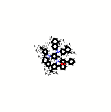 CC(C)(C)c1ccc(N2c3ccc(-c4ccccc4)cc3B3c4cc5c(cc4N(c4ccc6c(c4)C(C)(C)CCC6(C)C)c4cc(N6c7ccc(C(C)(C)C)cc7C7(C)CCc8ccccc8C67C)cc2c43)C(C)(C)CCC5(C)C)c(-c2ccccc2)c1